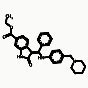 CCOC(=O)c1ccc2c(c1)NC(=O)/C2=C(\Nc1ccc(CN2CCCCC2)cc1)c1ccccc1